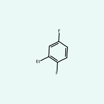 CCc1cc(F)ccc1F